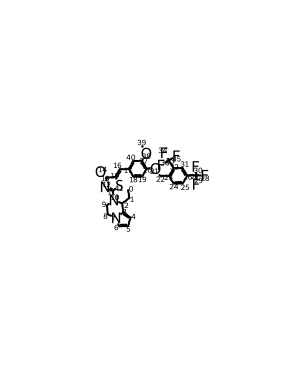 CCC1c2cccn2CCN1C1=NC(=O)/C(=C/c2ccc(OCc3ccc(C(F)(F)F)cc3C(F)(F)F)c(OC)c2)S1